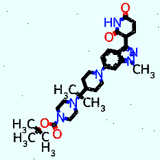 Cn1nc(C2CCC(=O)NC2=O)c2ccc(N3CCC(C(C)(C)N4CCN(C(=O)OC(C)(C)C)CC4)CC3)cc21